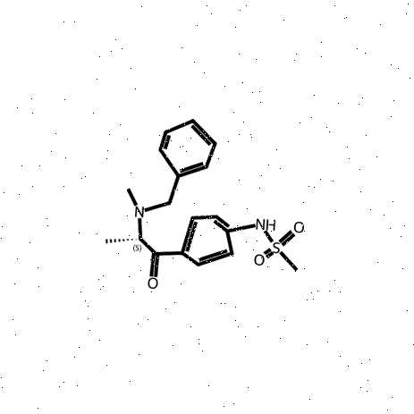 C[C@@H](C(=O)c1ccc(NS(C)(=O)=O)cc1)N(C)Cc1ccccc1